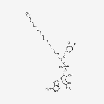 CCCCCCCCCCCCCCCCCCOC[C@H](COP(=O)(O)OC[C@H]1O[C@@](C=NC)(c2ccc3c(N)ncnn23)[C@H](O)[C@@H]1O)OCc1ccc(F)c(Cl)c1